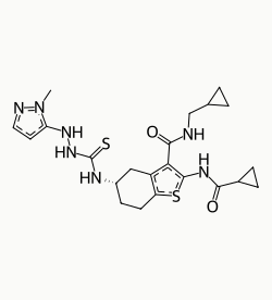 Cn1nccc1NNC(=S)N[C@H]1CCc2sc(NC(=O)C3CC3)c(C(=O)NCC3CC3)c2C1